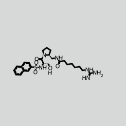 N=C(N)NCCCCCCC(=O)NC[C@@H]1CCCN1C(=O)[C@H](CO)NS(=O)(=O)c1ccc2ccccc2c1